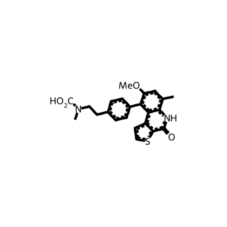 COc1cc(C)c2[nH]c(=O)c3sccc3c2c1-c1ccc(CCN(C)C(=O)O)cc1